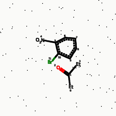 CCC(=O)CC.O=[N+]([O-])c1ccccc1Br